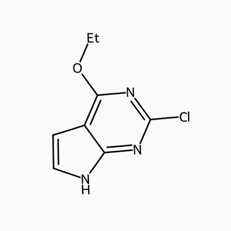 CCOc1nc(Cl)nc2[nH]ccc12